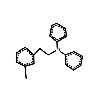 Cc1cccc(CC[SiH](c2ccccc2)c2ccccc2)c1